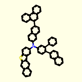 c1ccc(-c2cc(N(c3ccc4cc(-c5cc6ccccc6c6ccccc56)ccc4c3)c3ccc4sc5cc6ccccc6cc5c4c3)ccc2-c2ccc3ccccc3c2)cc1